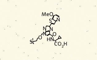 COc1ccnc2cc(-c3cnc4c(n3)c(C(=O)NC(C(=O)O)C3CC3)cn4COCC[Si](C)(C)C)sc12